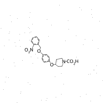 O=C(O)N1CCC(Oc2ccc(OCc3ccccc3[N+](=O)[O-])cc2)CC1